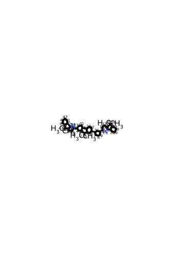 CC1(C)c2cc(-c3cccc(-c4ccc5c(n4)-c4ccccc4C5(C)C)c3)ccc2-c2ccc(-c3ccc4c(n3)-c3ccccc3C4(C)C)cc21